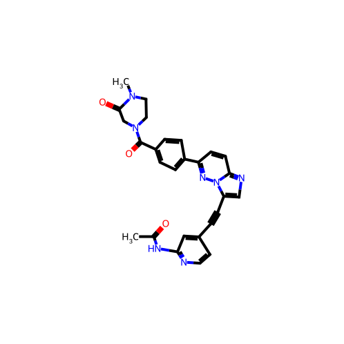 CC(=O)Nc1cc(C#Cc2cnc3ccc(-c4ccc(C(=O)N5CCN(C)C(=O)C5)cc4)nn23)ccn1